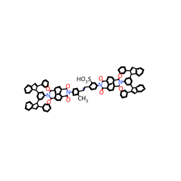 Cc1cc(N2C(=O)c3ccc4c5c(ccc(c35)C2=O)C(=O)N(c2cc(C3C(c5ccccc5)=Cc5ccccc53)cc(C3C(c5ccccc5)=Cc5ccccc53)c2)C4=O)ccc1/C=C/c1ccc(N2C(=O)c3ccc4c5c(ccc(c35)C2=O)C(=O)N(c2cc(C3C(c5ccccc5)=Cc5ccccc53)cc(C3C(c5ccccc5)=Cc5ccccc53)c2)C4=O)cc1S(=O)(=O)O